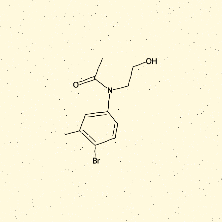 CC(=O)N(CCO)c1ccc(Br)c(C)c1